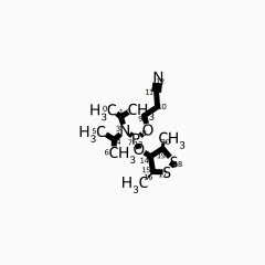 CC(C)N(C(C)C)P(OCCC#N)OC1[C@@H](C)SS[C@@H]1C